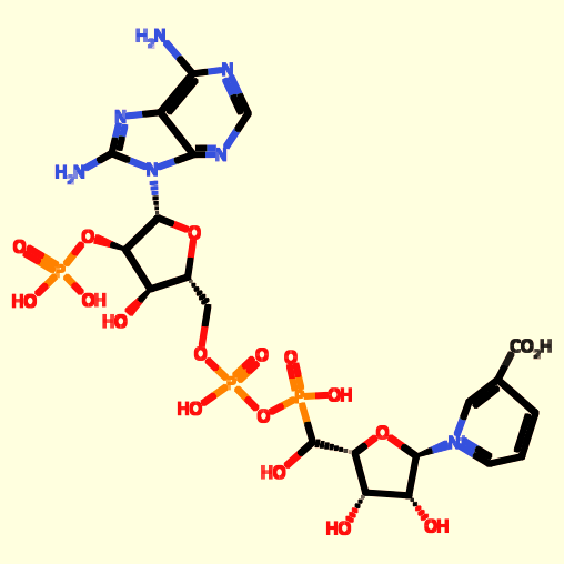 Nc1ncnc2c1nc(N)n2[C@@H]1O[C@H](COP(=O)(O)OP(=O)(O)C(O)[C@@H]2O[C@@H]([n+]3cccc(C(=O)O)c3)[C@H](O)[C@@H]2O)[C@@H](O)[C@H]1OP(=O)(O)O